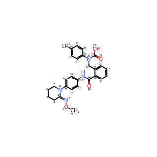 CON=C1CCCCN1c1ccc(NC(=O)c2ccccc2CN(C(=O)O)c2ccc(Cl)cc2)cc1